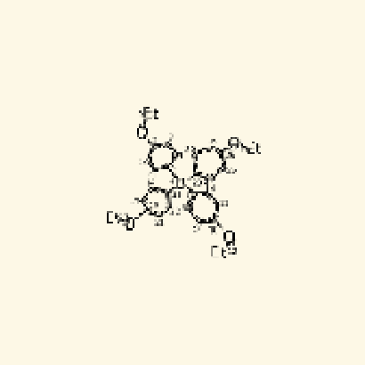 CCOc1ccc([B-](c2ccc(OCC)cc2)(c2ccc(OCC)cc2)c2ccc(OCC)cc2)cc1